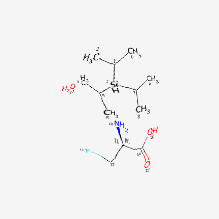 CC(C)[SiH](C(C)C)C(C)C.N[C@H](CF)C(=O)O.O